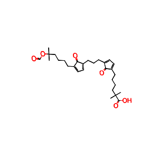 CC(C)(CCCCC1=CC=C(CCCC2=CC=C(CCCCC(C)(C)C(=O)O)C2=O)C1=O)OC=O